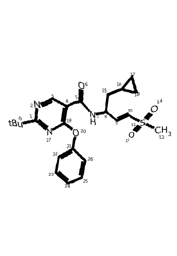 CC(C)(C)c1ncc(C(=O)NC(C=CS(C)(=O)=O)CC2CC2)c(Oc2ccccc2)n1